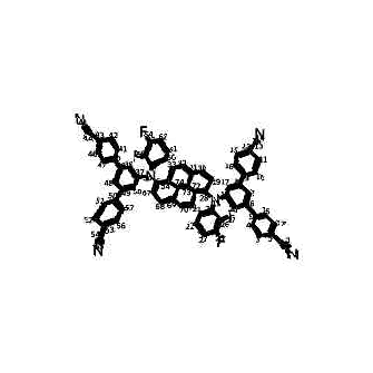 N#Cc1ccc(-c2cc(-c3ccc(C#N)cc3)cc(N(c3cccc(F)c3F)c3ccc4ccc5c(N(c6cc(-c7ccc(C#N)cc7)cc(-c7ccc(C#N)cc7)c6)c6cccc(F)c6F)ccc6ccc3c4c65)c2)cc1